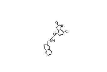 O=C1Cc2c(OCCNCc3ccc4ccccc4c3)ccc(Cl)c2N1